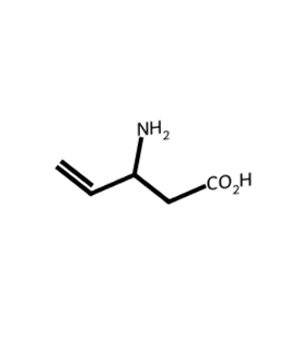 C=CC(N)CC(=O)O